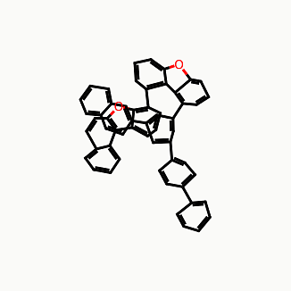 c1ccc(-c2ccc(-c3cc(-c4ccc5ccccc5c4)cc(-c4cccc5oc6cccc(-c7cccc8c7oc7ccc9ccccc9c78)c6c45)c3)cc2)cc1